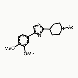 COc1ccc(-c2csc(C3CCN(C(C)=O)CC3)n2)cc1OC